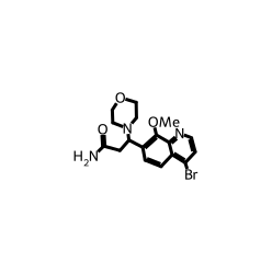 COc1c(C(CC(N)=O)N2CCOCC2)ccc2c(Br)ccnc12